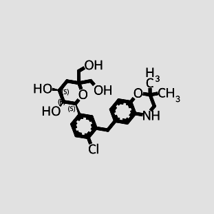 CC1(C)CNc2cc(Cc3cc([C@@H]4OC(CO)(CO)C[C@H](O)[C@H]4O)ccc3Cl)ccc2O1